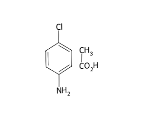 CC(=O)O.Nc1ccc(Cl)cc1